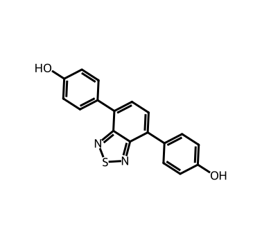 Oc1ccc(-c2ccc(-c3ccc(O)cc3)c3nsnc23)cc1